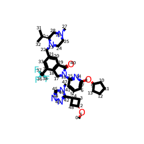 CO[C@H]1C[C@](c2cc(OC3CCCC3)nc(N3Cc4c(cc(CN5CCN(C)C[C@@H]5C(C)C)cc4C(F)(F)F)C3=O)c2)(c2nncn2C)C1